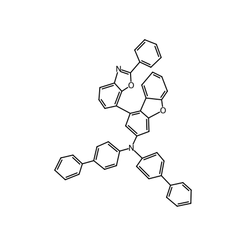 c1ccc(-c2ccc(N(c3ccc(-c4ccccc4)cc3)c3cc(-c4cccc5nc(-c6ccccc6)oc45)c4c(c3)oc3ccccc34)cc2)cc1